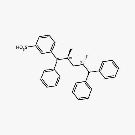 C[C@@H](C[C@H](C)P(c1ccccc1)c1cccc(S(=O)(=O)O)c1)P(c1ccccc1)c1ccccc1